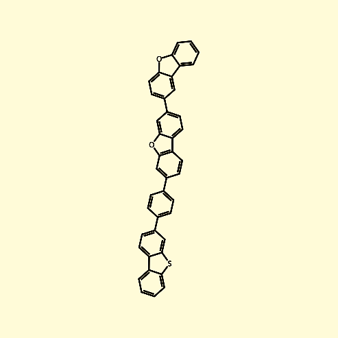 c1ccc2c(c1)oc1ccc(-c3ccc4c(c3)oc3cc(-c5ccc(-c6ccc7c(c6)sc6ccccc67)cc5)ccc34)cc12